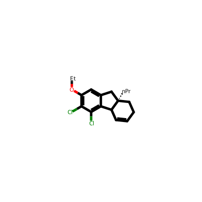 [CH2]COc1cc2c(c(Cl)c1Cl)C1C=CCC[C@]1(CCC)C2